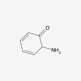 NC1C=CC=CC1=O